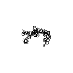 CCOC(=O)Oc1cc(OC(=O)c2cccc(C(=O)n3c(=O)c(F)cn([C@H]4C[C@H](OCc5ccccc5)[C@@H](COC(C)=O)O4)c3=O)c2)c(Cl)cn1